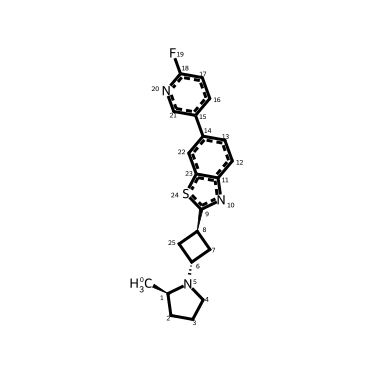 C[C@@H]1CCCN1[C@H]1C[C@H](c2nc3ccc(-c4ccc(F)nc4)cc3s2)C1